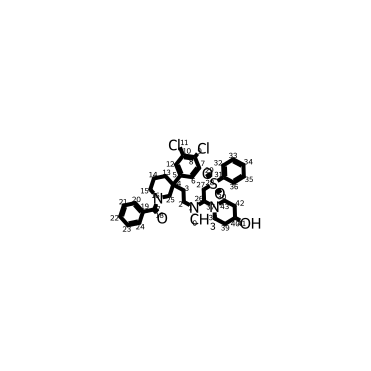 CN(CCC1(c2ccc(Cl)c(Cl)c2)CCCN(C(=O)c2ccccc2)C1)C(CS(=O)(=O)c1ccccc1)N1CCC(O)CC1